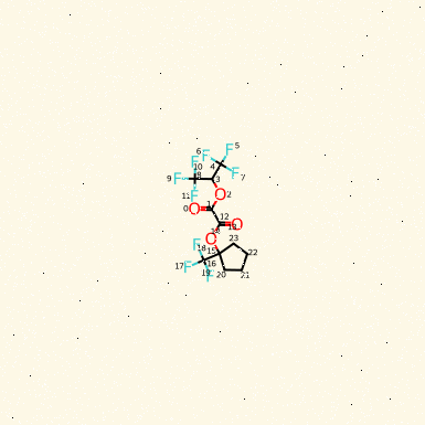 O=C(OC(C(F)(F)F)C(F)(F)F)C(=O)OC1(C(F)(F)F)CCCC1